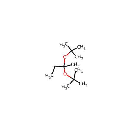 CCC(C)(OC(C)(C)C)OC(C)(C)C